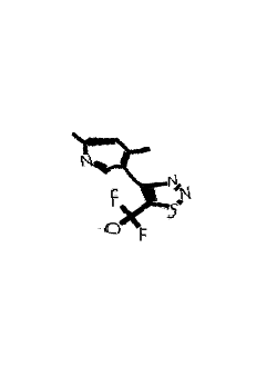 Cc1cc(C)c(-c2nnsc2C([O])(F)F)cn1